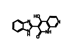 O=c1[nH]c2cnccc2c(O)c1-c1nc2ccccc2[nH]1